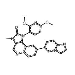 COc1ccc(-n2c(=O)n(C)c3cnc4ccc(-c5ccc6nccn6c5)cc4c32)c(OC)n1